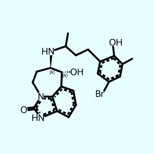 Cc1cc(Br)cc(CCC(C)N[C@@H]2CCn3c(=O)[nH]c4cccc(c43)[C@H]2O)c1O